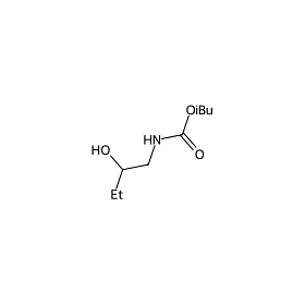 CCC(O)CNC(=O)OCC(C)C